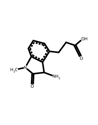 CN1C(=O)C(N)c2c(CCC(=O)O)cccc21